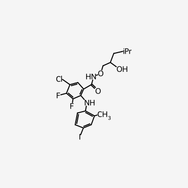 Cc1cc(I)ccc1Nc1c(C(=O)NOCC(O)CC(C)C)cc(Cl)c(F)c1F